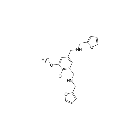 COc1cc(CNCc2ccco2)cc(CNCc2ccco2)c1O